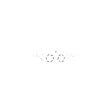 NS(=O)(=O)c1ccc2c(c1)C(=O)c1cc(S(N)(=O)=O)ccc1-2